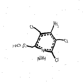 Nc1c(Cl)c(Cl)nc(C(=O)O)c1Cl.[NaH]